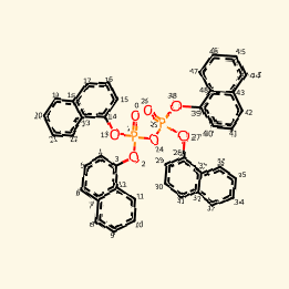 O=P(Oc1cccc2ccccc12)(Oc1cccc2ccccc12)OP(=O)(Oc1cccc2ccccc12)Oc1cccc2ccccc12